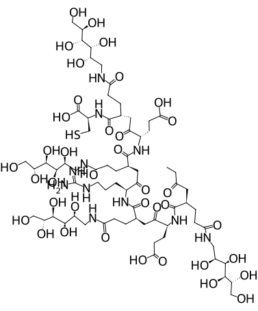 CCC(=O)C[C@@H](CCC(=O)NC[C@H](O)[C@@H](O)[C@H](O)[C@H](O)CO)C(=O)N[C@@H](CCC(=O)O)C(=O)C[C@@H](CCC(=O)NC[C@H](O)[C@@H](O)[C@H](O)[C@H](O)CO)C(=O)N[C@@H](CCCNC(=N)N)C(=O)C[C@@H](CCC(=O)NC[C@H](O)[C@@H](O)[C@H](O)[C@H](O)CO)C(=O)N[C@@H](CCC(=O)O)C(=O)C[C@@H](CCC(=O)NC[C@H](O)[C@@H](O)[C@H](O)[C@H](O)CO)C(=O)N[C@@H](CS)C(=O)O